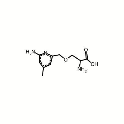 Cc1cc(N)nc(COC[C@H](N)C(=O)O)c1